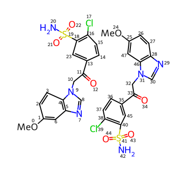 COc1ccc2c(c1)ncn2CC(=O)c1ccc(Cl)c(S(N)(=O)=O)c1.COc1ccc2ncn(CC(=O)c3ccc(Cl)c(S(N)(=O)=O)c3)c2c1